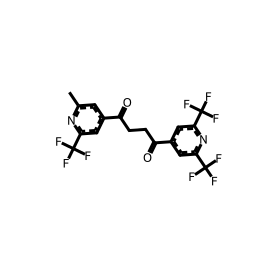 Cc1cc(C(=O)CCC(=O)c2cc(C(F)(F)F)nc(C(F)(F)F)c2)cc(C(F)(F)F)n1